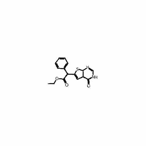 CCOC(=O)C(C1=CC2C(=O)NC=NC2S1)c1ccccc1